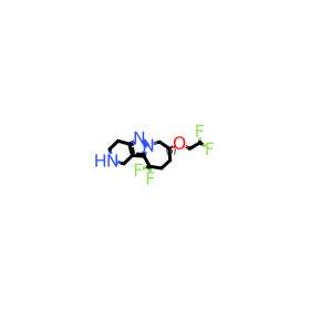 FC(F)CO[C@H]1CCC(F)(F)c2c3c(nn2C1)CCNC3